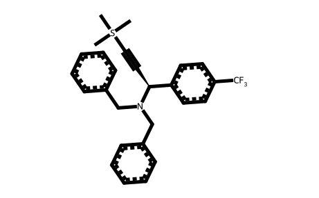 CS(C)(C)C#C[C@@H](c1ccc(C(F)(F)F)cc1)N(Cc1ccccc1)Cc1ccccc1